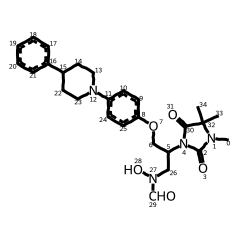 CN1C(=O)N(C(COc2ccc(N3CCC(c4ccccc4)CC3)cc2)CN(O)C=O)C(=O)C1(C)C